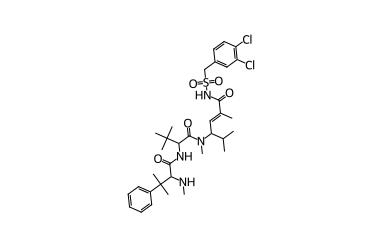 CNC(C(=O)NC(C(=O)N(C)C(C=C(C)C(=O)NS(=O)(=O)Cc1ccc(Cl)c(Cl)c1)C(C)C)C(C)(C)C)C(C)(C)c1ccccc1